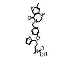 Cc1cc2c(cn1)C(=O)N(Cc1ccc(O[C@@H](CCN(C)C(=O)O)c3cccs3)cc1)CCN2C